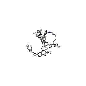 CCc1nc2ccc(OCCN3CCOCC3)cc2c2c1O[C@]1(CC2)C[C@H]2C(=O)N[C@]3(C(=O)NS(=O)(=O)C4(C)CC4)C[C@H]3/C=C\CCCCC[C@H](N)C(=O)N2C1